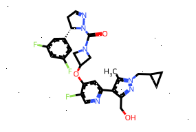 Cc1c(-c2cc(OC3CN(C(=O)N4N=CC[C@H]4c4cc(F)cc(F)c4)C3)c(F)cn2)c(CO)nn1CC1CC1